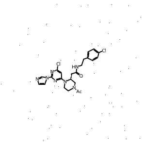 CC(=O)N1CCN(c2cc(Cl)nc(-n3ccnc3)n2)C(CC(=O)NCCc2ccc(Cl)cc2)C1